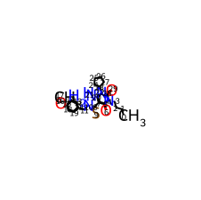 CCCCn1c(=O)c(C(=S)NCc2ccc(OC)cc2)c(N)n(C2CCCC2)c1=O